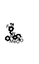 COC(=O)N1c2ccc3c(nc(Cc4ccc(N(C)C)c(F)c4)n3C3CCCCC3)c2CC[C@@H]1C